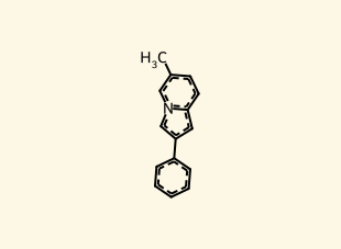 Cc1ccc2cc(-c3ccccc3)cn2c1